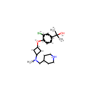 CN(CC1CCNCC1)C1CC(Oc2ccc(C(C)(C)O)cc2Br)C1